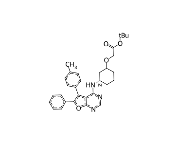 Cc1ccc(-c2c(-c3ccccc3)oc3ncnc(N[C@H]4CCCC(OCC(=O)OC(C)(C)C)C4)c23)cc1